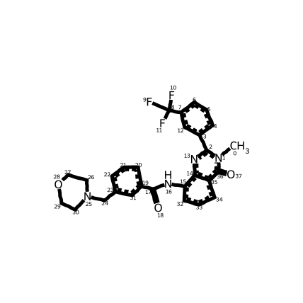 Cn1c(-c2cccc(C(F)(F)F)c2)nc2c(NC(=O)c3cccc(CN4CCOCC4)c3)cccc2c1=O